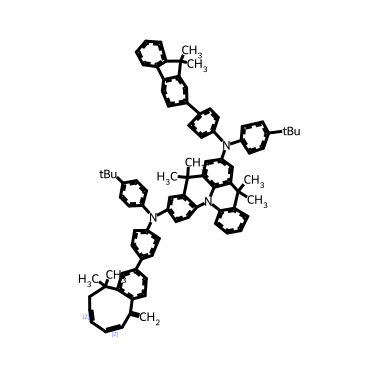 C=C1/C=C\C=C/CC(C)(C)c2cc(-c3ccc(N(c4ccc(C(C)(C)C)cc4)c4ccc5c(c4)C(C)(C)c4cc(N(c6ccc(-c7ccc8c(c7)C(C)(C)c7ccccc7-8)cc6)c6ccc(C(C)(C)C)cc6)cc6c4N5c4ccccc4C6(C)C)cc3)ccc21